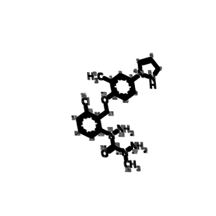 Cc1cc(N2C=CCN2)ccc1OCc1c(Cl)cccc1N(N)C(=O)N(C)N